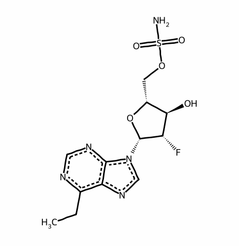 CCc1ncnc2c1ncn2[C@@H]1O[C@H](COS(N)(=O)=O)[C@@H](O)[C@@H]1F